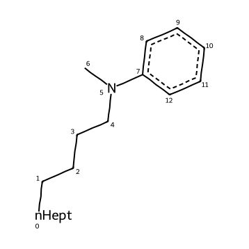 CCCCCCCCCCCN(C)c1ccccc1